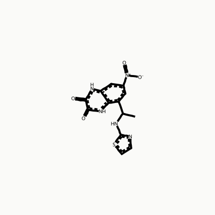 CC(Nc1nccs1)c1cc([N+](=O)[O-])cc2[nH]c(=O)c(=O)[nH]c12